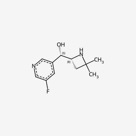 CC1(C)C[C@H]([C@@H](O)c2cncc(F)c2)N1